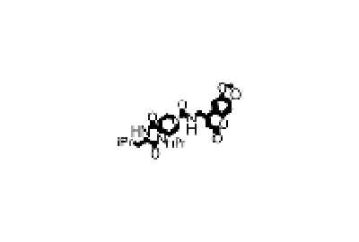 CCCN1C(=O)C(CC(C)C)NC(=O)C12CCN(C(=O)NCc1cc(=O)oc3cc4c(cc13)OCO4)CC2